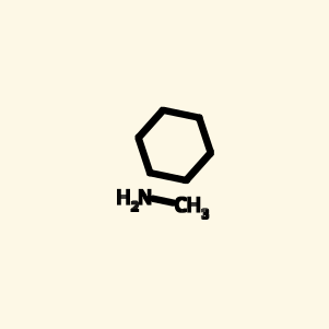 C1CCCCC1.CN